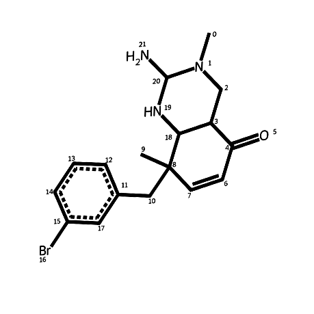 CN1CC2C(=O)C=CC(C)(Cc3cccc(Br)c3)C2NC1N